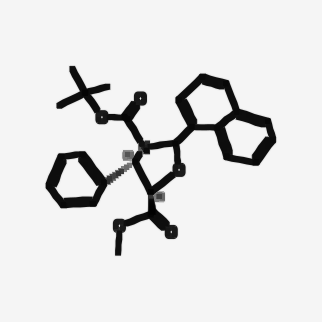 COC(=O)[C@@H]1OC(c2cccc3ccccc23)N(C(=O)OC(C)(C)C)[C@H]1c1ccccc1